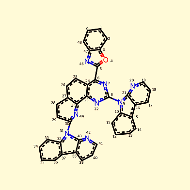 c1ccc2oc(-c3nc(-n4c5ccccc5c5cccnc54)nc4c3ccc3ccc(-n5c6ccccc6c6cccnc65)nc34)nc2c1